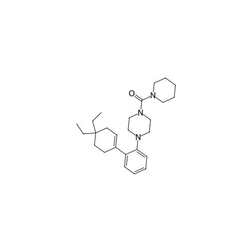 CCC1(CC)CC=C(c2ccccc2N2CCN(C(=O)N3CCCCC3)CC2)CC1